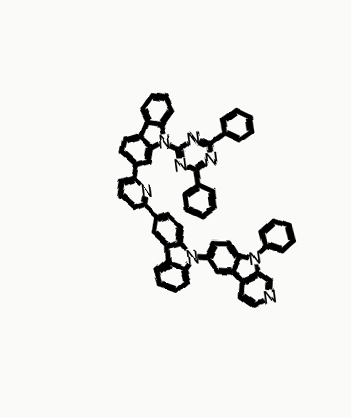 c1ccc(-c2nc(-c3ccccc3)nc(-n3c4ccccc4c4ccc(-c5cccc(-c6ccc7c(c6)c6ccccc6n7-c6ccc7c(c6)c6ccncc6n7-c6ccccc6)n5)cc43)n2)cc1